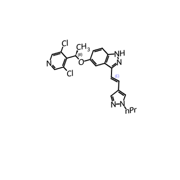 CCCn1cc(/C=C/c2n[nH]c3ccc(O[C@H](C)c4c(Cl)cncc4Cl)cc23)cn1